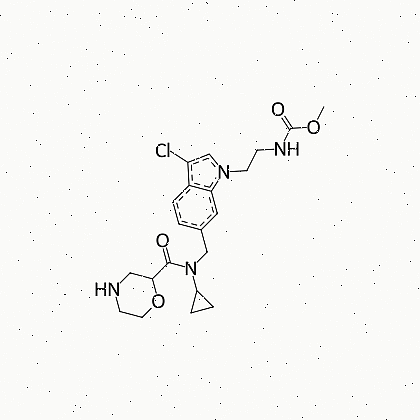 COC(=O)NCCn1cc(Cl)c2ccc(CN(C(=O)C3CNCCO3)C3CC3)cc21